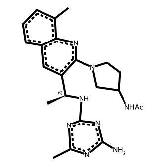 CC(=O)NC1CCN(c2nc3c(C)cccc3cc2[C@H](C)Nc2nc(C)nc(N)n2)C1